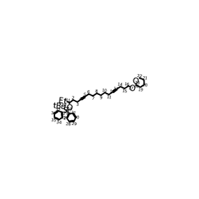 CCC(CCC#CCCCCCCC#CCCCOC1CCCCO1)O[Si](c1ccccc1)(c1ccccc1)C(C)(C)C